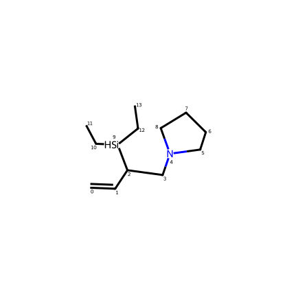 C=CC(CN1CCCC1)[SiH](CC)CC